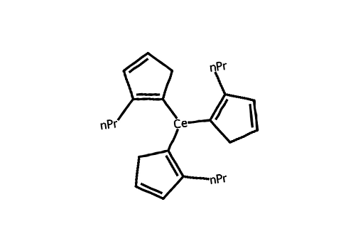 CCCC1=[C]([Ce]([C]2=C(CCC)C=CC2)[C]2=C(CCC)C=CC2)CC=C1